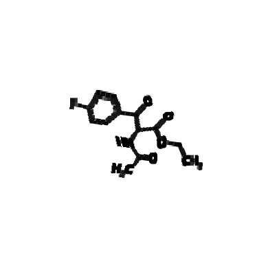 CCOC(=O)C(NC(C)=O)C(=O)c1ccc(F)cc1